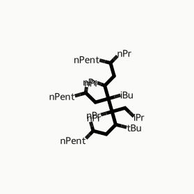 CCCCCC(CCC)C[C](C(C)(C)C)C(CCC)(CC(C)C)C(CC(CCC)CCCCC)(C(C)CC)C(CCC)CC(CCC)CCCCC